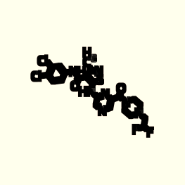 Cc1nsc(Nc2cncc(C(=O)N3CCN(CC(F)F)CC3)n2)c1C(=O)Nc1ccc(Cl)c(Cl)c1